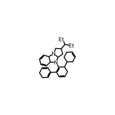 CCC(CC)C1CC2N(C1)C1C=CC=CC1N2C1=C(C2=CCCC=C2)C=CCC1C1CC=CCC1